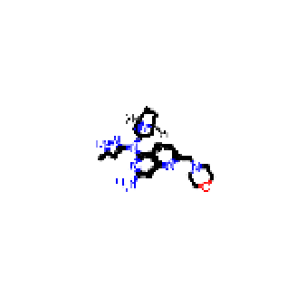 Cc1cc(N(c2nc(N)cc3nc(CN4CCOCC4)ccc23)C2C[C@H]3CC[C@@H](C2)N3)n[nH]1